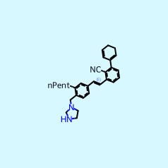 CCCCCc1cc(/C=C/c2cccc(C3=CCCC=C3)c2C#N)ccc1CN1CCNC1